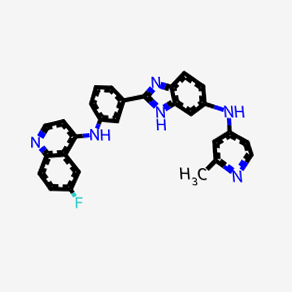 Cc1cc(Nc2ccc3nc(-c4cccc(Nc5ccnc6ccc(F)cc56)c4)[nH]c3c2)ccn1